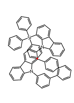 c1ccc(-c2cccc(-n3c4ccccc4c4ccc(-n5c6ccccc6c6cccc([Si](c7ccccc7)(c7ccccc7)c7ccccc7)c65)c(-c5ccccc5)c43)c2)cc1